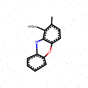 CCCCCCc1c(C)ccc2c1[N]c1ccccc1O2